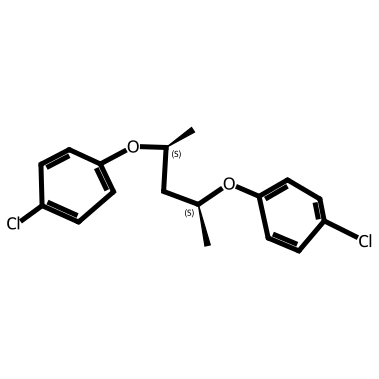 C[C@@H](C[C@H](C)Oc1ccc(Cl)cc1)Oc1ccc(Cl)cc1